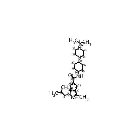 Cc1nn(CC(C)C)c2sc(C(=O)NC3CCC(N4CCN(C(C)C)CC4)CC3)cc12